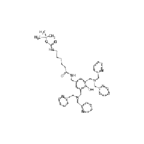 CC(C)(C)OC(=O)NCCCCCC(=O)NCc1cc(CN(Cc2ccccn2)Cc2ccccn2)c(O)c(CN(Cc2ccccn2)Cc2ccccn2)c1